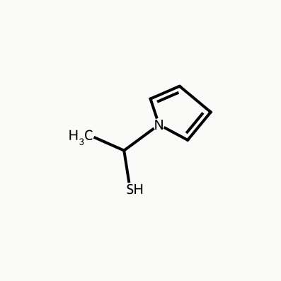 CC(S)n1cccc1